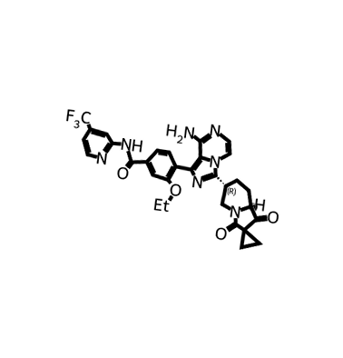 CCOc1cc(C(=O)Nc2cc(C(F)(F)F)ccn2)ccc1-c1nc([C@@H]2CC[C@H]3C(=O)C4(CC4)C(=O)N3C2)n2ccnc(N)c12